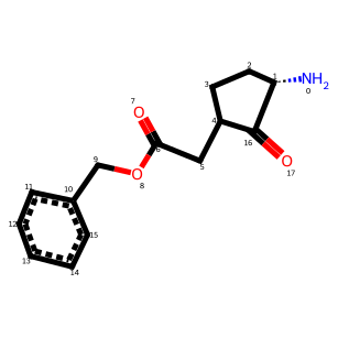 N[C@H]1CCC(CC(=O)OCc2ccccc2)C1=O